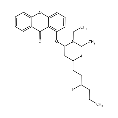 CCCC(I)CCC(I)CC(Oc1cccc2oc3ccccc3c(=O)c12)N(CC)CC